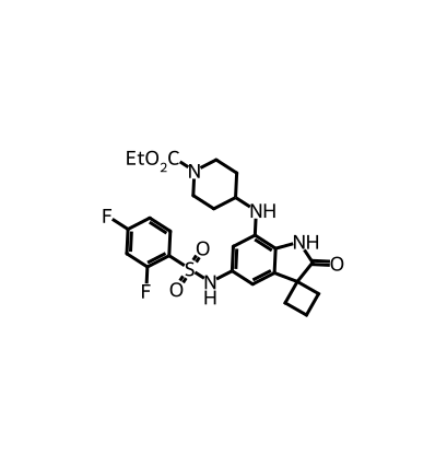 CCOC(=O)N1CCC(Nc2cc(NS(=O)(=O)c3ccc(F)cc3F)cc3c2NC(=O)C32CCC2)CC1